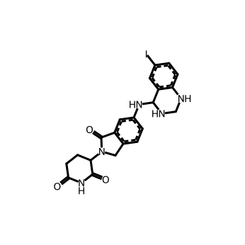 O=C1CCC(N2Cc3ccc(NC4NCNc5ccc(I)cc54)cc3C2=O)C(=O)N1